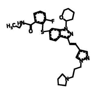 CCNC(=O)c1cccc(F)c1Sc1ccc2c(/C=C/c3cnn(CCCN4CCCC4)c3)nn(C3CCCCO3)c2c1